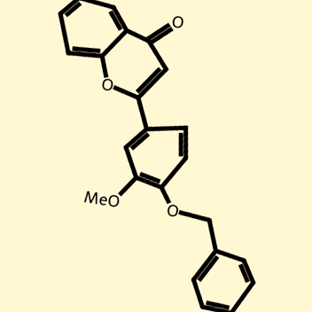 COc1cc(-c2cc(=O)c3ccccc3o2)ccc1OCc1ccccc1